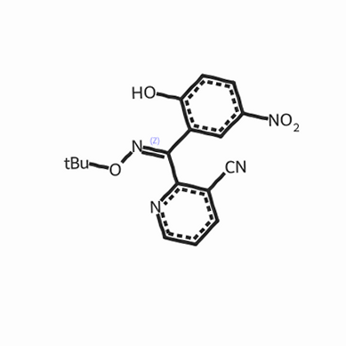 CC(C)(C)O/N=C(/c1cc([N+](=O)[O-])ccc1O)c1ncccc1C#N